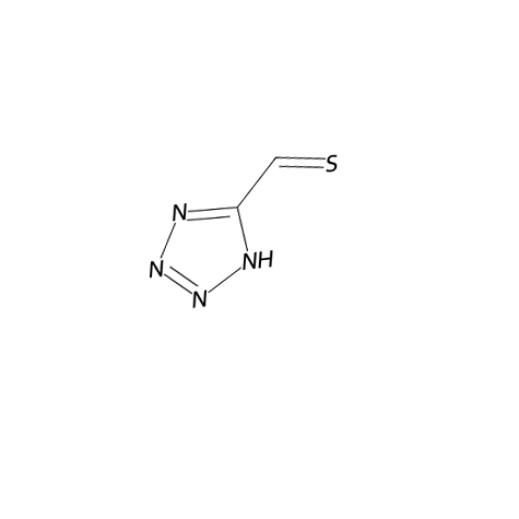 S=Cc1nnn[nH]1